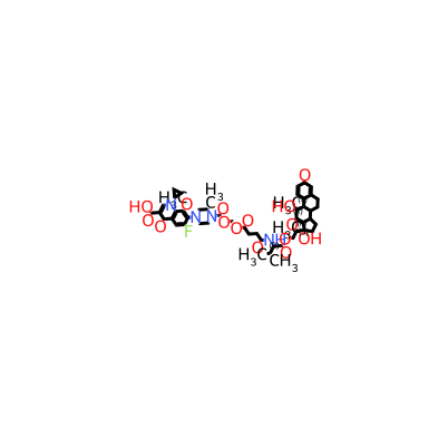 COc1c(N2CCN(C(=O)OCOC(=O)CCC(=O)N[C@@H](C(=O)OCC(=O)[C@]3(O)CCC4C5CCC6=CC(=O)C=C[C@@]6(C)C5[C@H](O)C[C@]43C)C(C)C)C(C)C2)c(F)cc2c(=O)c(C(=O)O)cn(C3CC3)c12